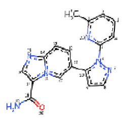 Cc1cccc(-n2nccc2-c2ccc3ncc(C(N)=O)n3c2)n1